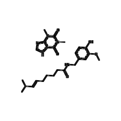 COc1cc(CNC(=O)CCCC/C=C/C(C)C)ccc1O.Cn1c(=O)c2[nH]cnc2n(C)c1=O